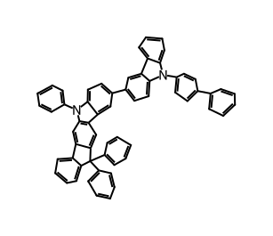 c1ccc(-c2ccc(-n3c4ccccc4c4cc(-c5ccc6c(c5)c5cc7c(cc5n6-c5ccccc5)-c5ccccc5C7(c5ccccc5)c5ccccc5)ccc43)cc2)cc1